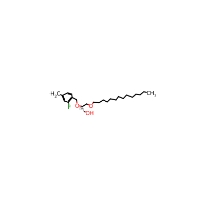 [CH2]c1ccc(CO[C@@H](CO)COCCCCCCCCCCCCCC)c(F)c1